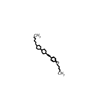 CCCCCCC1CCC(C2CCC(C#Cc3ccc(OCCCCC)cc3)CC2)CC1